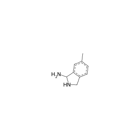 Cc1ccc2c(c1)C(N)NC2